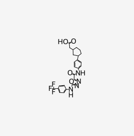 O=C(O)CC1CCCC(c2ccc(NC(=O)c3nnc(Nc4ccc(C(F)(F)F)cc4)o3)cc2)C1